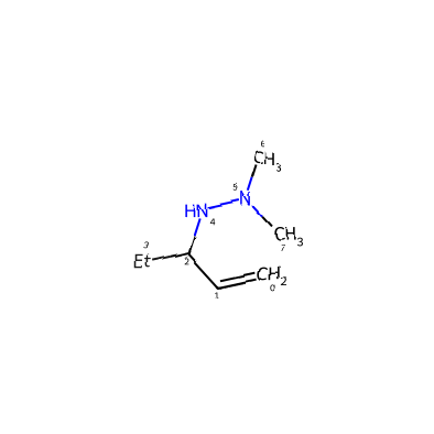 C=CC(CC)NN(C)C